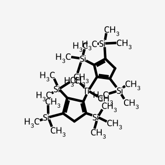 C[Si](C)(C)C1=C([Si](C)(C)C)[C]([Ti]([CH3])([CH3])[C]2=C([Si](C)(C)C)CC([Si](C)(C)C)=C2[Si](C)(C)C)=C([Si](C)(C)C)C1